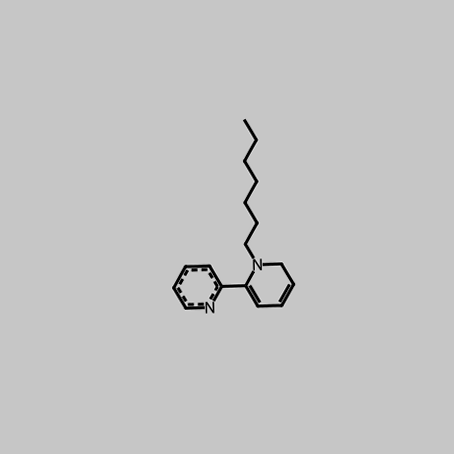 CCCCCCCN1CC=CC=C1c1ccccn1